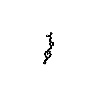 O=C([O-])CCN1C=[N+](CC[SiH]2OCCN(CCO)CCO2)CC1